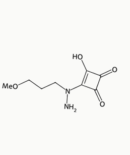 COCCCN(N)c1c(O)c(=O)c1=O